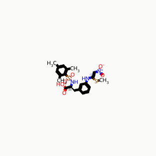 CS/C(=C\[N+](=O)[O-])Nc1cccc(C[C@H](NS(=O)(=O)c2c(C)cc(C)cc2C)C(=O)O)c1